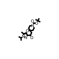 Cc1c2c(nn1C(C)C)C(=O)CC1(CCN(C(=O)OC(C)(C)C)CC1)O2